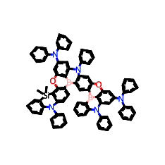 C[Si]1(C)c2ccccc2N(c2ccccc2)c2ccc3c(c21)Oc1cc(N(c2ccccc2)c2ccccc2)cc2c1B3c1cc3c(cc1N2c1ccccc1)Oc1cc(N(c2ccccc2)c2ccccc2)cc2c1B3c1ccccc1N2c1ccccc1